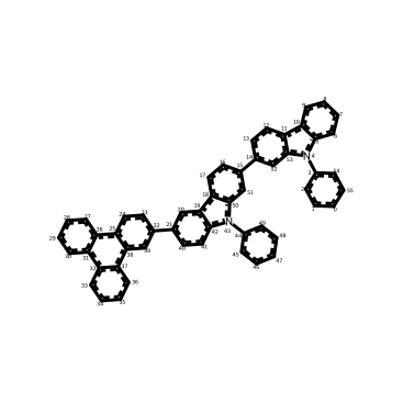 c1ccc(-n2c3ccccc3c3ccc(-c4ccc5c6cc(-c7ccc8c9ccccc9c9ccccc9c8c7)ccc6n(-c6ccccc6)c5c4)cc32)cc1